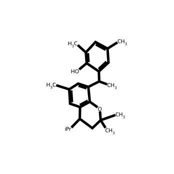 Cc1cc(C)c(O)c(C(C)c2cc(C)cc3c2OC(C)(C)CC3C(C)C)c1